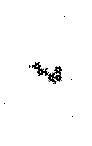 CCc1cccc(-c2cccc(C(=O)COc3ccc(Br)cc3CP(c3ccccc3)c3ccccc3)c2)c1